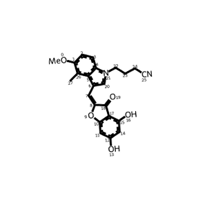 COc1ccc2c(c(C=C3Oc4cc(O)cc(O)c4C3=O)cn2CCCC#N)c1C